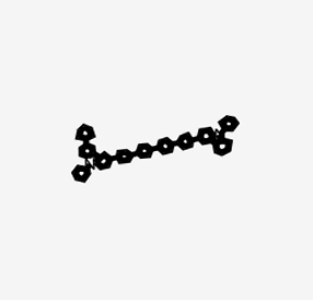 c1ccc(-c2ccc3c(c2)c2cc(-c4ccc(-c5ccc(-c6ccc(-c7ccc(-c8ccc9c(c8)c8ccccc8n9-c8ccccc8)cc7)cc6)cc5)cc4)ccc2n3-c2ccccc2)cc1